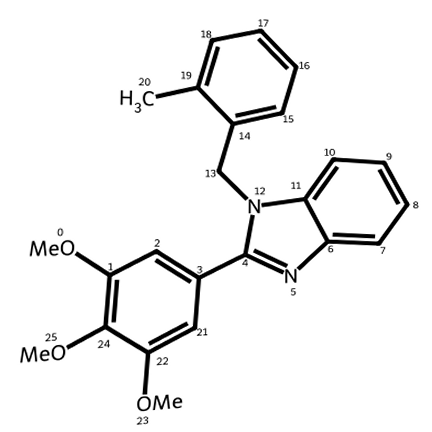 COc1cc(-c2nc3ccccc3n2Cc2ccccc2C)cc(OC)c1OC